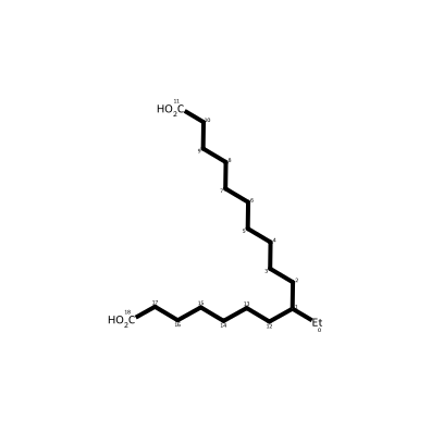 CCC(CCCCCCCCCC(=O)O)CCCCCCC(=O)O